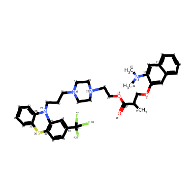 CC(COc1cc2ccccc2cc1N(C)C)C(=O)OCCN1CCN(CCCN2c3ccccc3Sc3ccc(C(F)(F)F)cc32)CC1